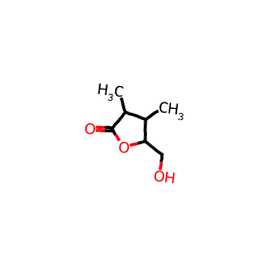 CC1C(=O)OC(CO)C1C